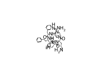 CC(C)C[C@@H](NC(=O)[C@@H](CCc1ccccc1)NC(=O)[C@H](N)Cc1ccccc1)C(=O)N[C@H](CCCN)C(=O)N1CCCN(C(=N)N)CC1